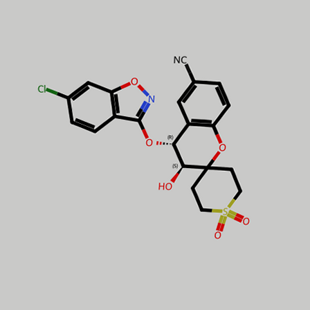 N#Cc1ccc2c(c1)[C@@H](Oc1noc3cc(Cl)ccc13)[C@H](O)C1(CCS(=O)(=O)CC1)O2